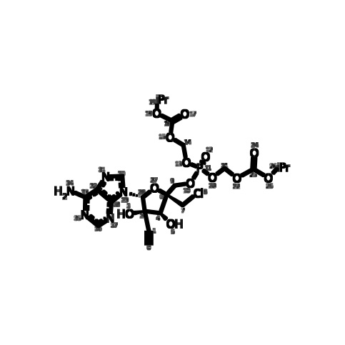 C#C[C@@]1(O)[C@H](O)[C@@](CCl)(COP(=O)(OCOC(=O)OC(C)C)OCOC(=O)OC(C)C)O[C@H]1n1cnc2c(N)ncnc21